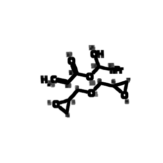 C(OCC1CO1)C1CO1.C=CC(=O)OC(O)CCC